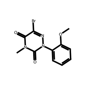 COc1ccccc1-n1nc(Br)c(=O)n(C)c1=O